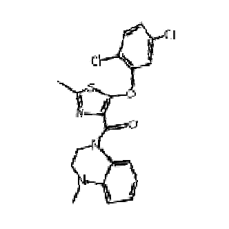 Cc1nc(C(=O)N2CCN(C)c3ccccc32)c(Oc2cc(Cl)ccc2Cl)s1